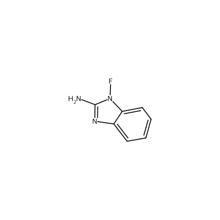 Nc1nc2ccccc2n1F